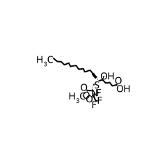 CCCCCCCCCCCCC#C[C@@H](SC[C@@H](C(=O)OC)N(F)C(=O)C(F)F)[C@@H](O)CCCC(=O)O